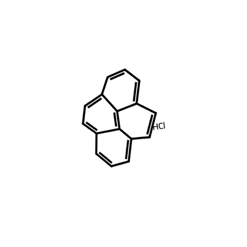 Cl.c1cc2ccc3cccc4ccc(c1)c2c34